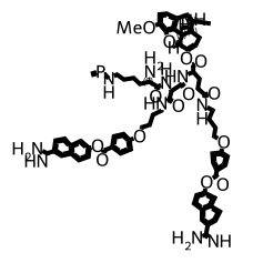 C=PNCCCC[C@H](N)C(=O)NC(C(=O)NCCCCOc1ccc(C(=O)Oc2ccc3cc(C(=N)N)ccc3c2)cc1)C(=O)NC(CCC(=O)NCCCCOc1ccc(C(=O)Oc2ccc3cc(C(=N)N)ccc3c2)cc1)C(=O)OC1=CC[C@H]2[C@H]3Cc4ccc(OC)c5c4[C@@]2(CCN3C)[C@H]1O5